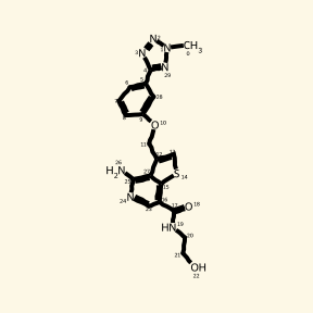 Cn1nnc(-c2cccc(OCc3csc4c(C(=O)NCCO)cnc(N)c34)c2)n1